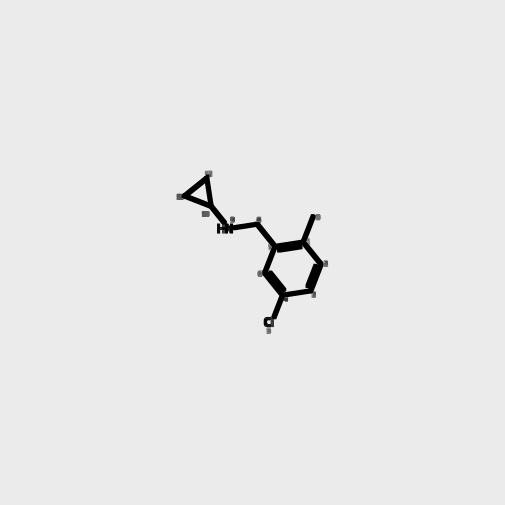 Cc1ccc(Cl)cc1CNC1CC1